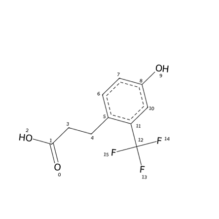 O=C(O)CCc1ccc(O)cc1C(F)(F)F